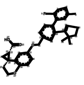 Cc1ccc(F)c(-c2ccc(COc3ccc4c(c3)[C@@]3(CCO4)C[C@@H]3C(=O)O)cc2C2=CCCC2(C)C)c1